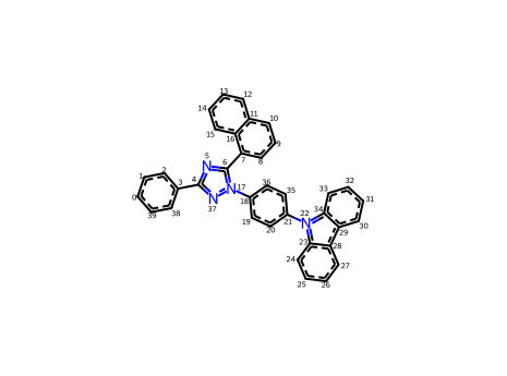 c1ccc(-c2nc(-c3cccc4ccccc34)n(-c3ccc(-n4c5ccccc5c5ccccc54)cc3)n2)cc1